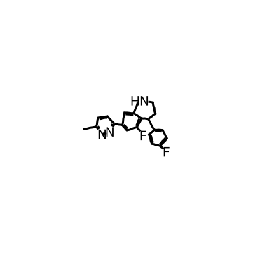 Cc1ccc(-c2cc(F)c3c(c2)CNCCC3c2ccc(F)cc2)nn1